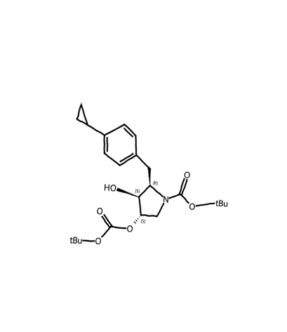 CC(C)(C)OC(=O)O[C@H]1CN(C(=O)OC(C)(C)C)[C@H](Cc2ccc(C3CC3)cc2)[C@@H]1O